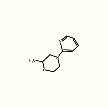 CC1CN(c2cc[c]cn2)CCO1